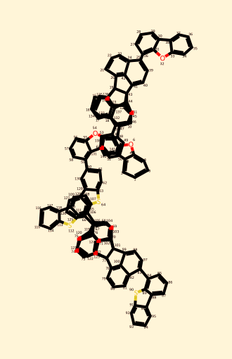 c1ccc2c(c1)oc1c(-c3ccc4c5c(cccc35)C35c6cccc7c(-c8cccc9c8oc8ccccc89)ccc(c67)C43c3ccc(-c4cccc6c4oc4cccc(-c7ccc8sc9c(-c%10ccc%11c%12c(cccc%10%12)C%10%12c%13cccc%14c(-c%15cccc%16c%15sc%15ccccc%15%16)ccc(c%13%14)C%11%10c%10ccc(-c%11cccc%13c%11sc%11ccccc%11%13)c%11cccc%12c%10%11)cccc9c8c7)c46)c4cccc5c34)cccc12